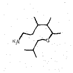 CC(C)COC(C)C(C)C(C)CCN